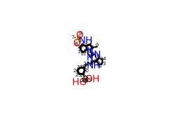 Cc1cc2c(NS(C)(=O)=O)cccc2n1-c1nc2c(c(NCc3cccc(B(O)O)c3)n1)CCC2